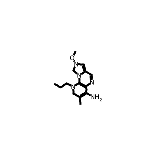 CCCN1CC(C)=C(N)C2=C1N1CN(OC)C=C1C=N2